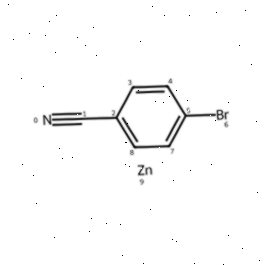 N#Cc1ccc(Br)cc1.[Zn]